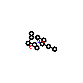 C1=C(N(c2ccc(-c3ccc(-c4ccccc4)cc3)cc2)c2ccccc2-c2ccccc2)c2ccccc2C2Oc3cccc(-c4ccc5ccccc5c4)c3C12